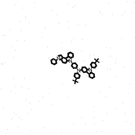 CC(C)(C)c1ccc(N(c2ccc(-n3c4ccccc4c4c5ccn(-c6ccccc6)c5ccc43)cc2)c2ccc3c(c2)c2ccccc2n3-c2ccc(C(C)(C)C)cc2)cc1